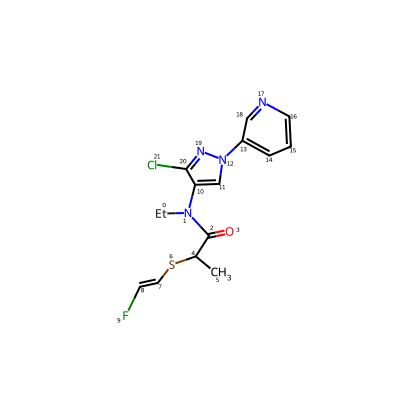 CCN(C(=O)C(C)SC=CF)c1cn(-c2cccnc2)nc1Cl